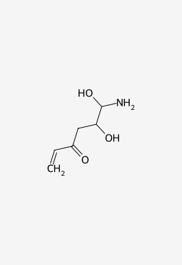 C=CC(=O)CC(O)C(N)O